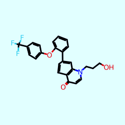 O=c1ccn(CCCO)c2cc(-c3ccccc3Oc3ccc(C(F)(F)F)cc3)ccc12